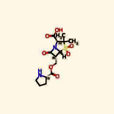 CC1(C)[C@H](C(=O)O)N2C(=O)[C@@H](COC(=O)[C@@H]3CCCN3)[C@H]2S1(=O)=O